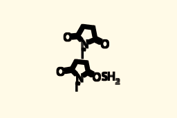 O=C1CCC(=O)N1I.O=C1CCC(=O)N1I.S